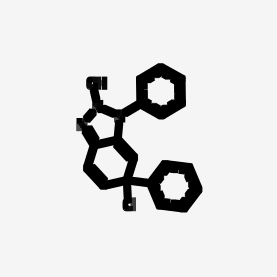 ON1N=C2C=CC(Cl)(c3ccccc3)C=C2N1c1ccccc1